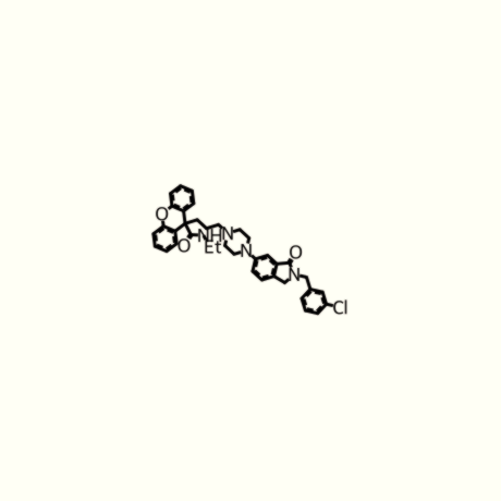 CCNC(=O)C1(CCCN2CCN(c3ccc4c(c3)C(=O)N(Cc3cccc(Cl)c3)C4)CC2)c2ccccc2Oc2ccccc21